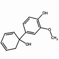 COc1cc(C2(O)C=CC=CC2)ccc1O